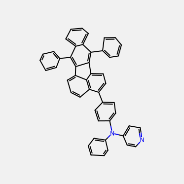 c1ccc(-c2c3c(c(-c4ccccc4)c4ccccc24)-c2ccc(-c4ccc(N(c5ccccc5)c5ccncc5)cc4)c4cccc-3c24)cc1